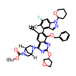 Cc1c(F)cc2c(cnn2C2CCCCO2)c1-c1c(C2CC2)cc2c(N3C[C@@H]4C[C@H]3CN4C(=O)OC(C)(C)C)nc(O[C@H]3CCOC3)nc2c1OCc1ccccc1